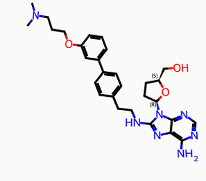 CN(C)CCCOc1cccc(-c2ccc(CCNc3nc4c(N)ncnc4n3[C@H]3CC[C@@H](CO)O3)cc2)c1